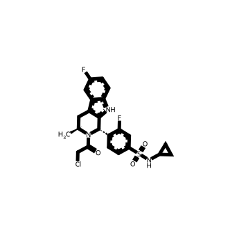 C[C@H]1Cc2c([nH]c3ccc(F)cc23)[C@H](c2ccc(S(=O)(=O)NC3CC3)cc2F)N1C(=O)CCl